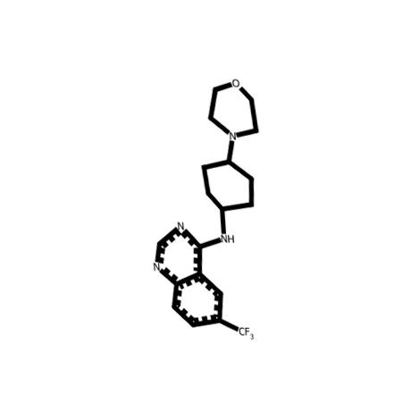 FC(F)(F)c1ccc2ncnc(NC3CCC(N4CCOCC4)CC3)c2c1